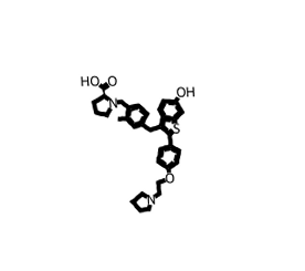 Cc1cc(Cc2c(-c3ccc(OCCN4CCCC4)cc3)sc3cc(O)ccc23)ccc1CN1CCC[C@H]1C(=O)O